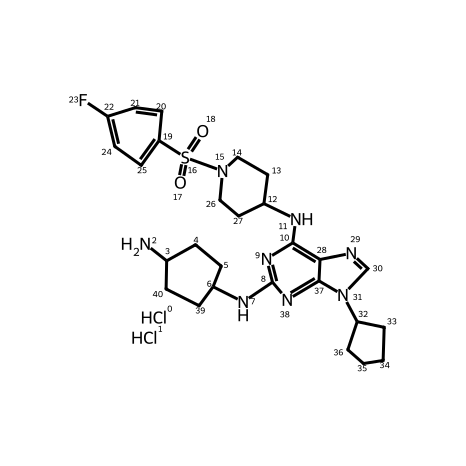 Cl.Cl.NC1CCC(Nc2nc(NC3CCN(S(=O)(=O)c4ccc(F)cc4)CC3)c3ncn(C4CCCC4)c3n2)CC1